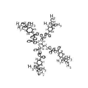 C=C[Si](C)(C)c1ccc(C(=O)OOC(=O)OCCC(COC(=O)OOC(=O)c2ccc([Si](C)(C)C=C)cc2)C(CCOC(=O)OOC(=O)c2ccc([Si](C)(C)C=C)cc2)COC(=O)OOC(=O)c2ccc([Si](C)(C)C=C)cc2)cc1